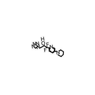 OC(Cn1cnnn1)C(F)(F)c1ccc(N2CCCCC2)cn1